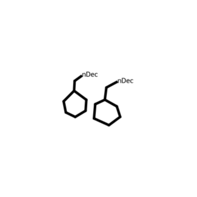 CCCCCCCCCCCC1CCCCC1.CCCCCCCCCCCC1CCCCC1